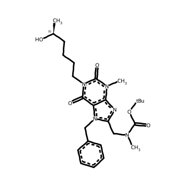 C[C@H](O)CCCCn1c(=O)c2c(nc(CN(C)C(=O)OC(C)(C)C)n2Cc2ccccc2)n(C)c1=O